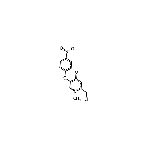 Cn1cc(Oc2ccc([N+](=O)[O-])cc2)c(=O)cc1CCl